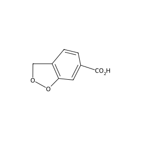 O=C(O)c1ccc2c(c1)OOC2